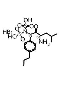 Br.CCCc1ccc(N(C(=O)[C@@H](N)CC(C)C)N(S(=O)(=O)O)S(=O)(=O)O)cc1